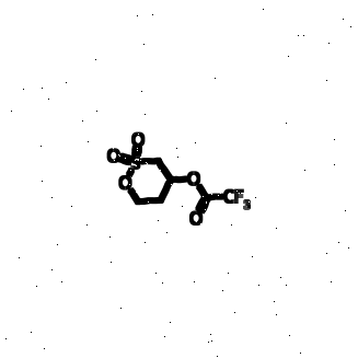 O=C(OC1CCOS(=O)(=O)C1)C(F)(F)F